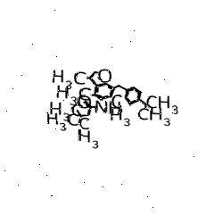 Cc1c(Cc2ccc(C(C)C)cc2)c2c(c(C)c1NC(=O)CC(C)(C)C)C(C)CO2